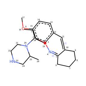 CCC(O/N=C1/CCCC/C1=C/c1ccc(OC)cc1)N1CCNCC1C